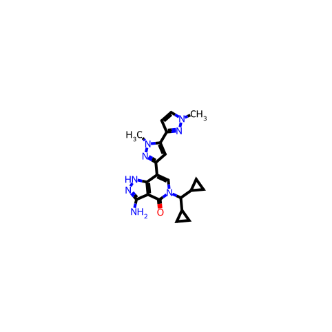 Cn1ccc(-c2cc(-c3cn(C(C4CC4)C4CC4)c(=O)c4c(N)n[nH]c34)nn2C)n1